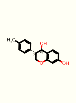 Cc1ccc([C@H]2COc3cc(O)ccc3[C@@H]2O)cc1